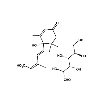 CC1=CC(=O)CC(C)(C)[C@@]1(O)/C=C/C(C)=C\C(=O)O.O=C[C@H](O)[C@@H](O)[C@H](O)[C@H](O)CO